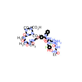 CCC(=O)NCCNC(=O)/N=C(/N)NCCC[C@@H](NC(=O)[C@H](c1ccc(OCCCNC(=O)CN(C)C(=O)CN(C)C(=O)CN(C)C(=O)CN2CCN(CC(=O)O)CCN(CC(=O)O)CCN(CC(=O)O)CC2)cc1)N1Cc2ccccc2C1)C(=O)NCc1c(F)cc(O)cc1F